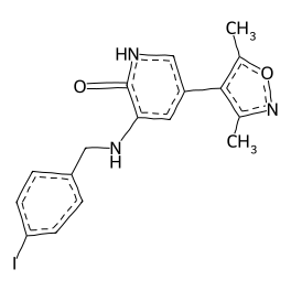 Cc1noc(C)c1-c1c[nH]c(=O)c(NCc2ccc(I)cc2)c1